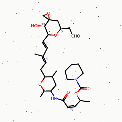 CC(/C=C/C1O[C@H](CC=O)CC2(CO2)[C@@H]1O)=C\CC1OC(C)C(NC(=O)/C=C\C(C)OC(=O)N2CCCCC2)CC1C